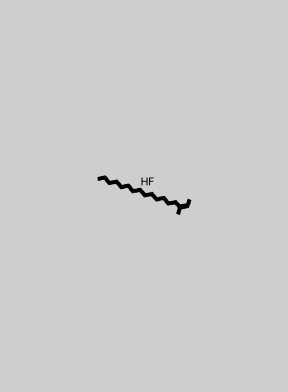 CC=C(C)CCCCCCCCCCCCCC.F